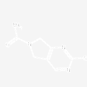 BC(=O)N1Cc2cnc(S)nc2C1